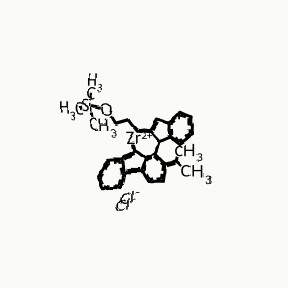 CC(C)=c1ccc2c(c1C1C(CCCO[Si](C)(C)C)=Cc3ccccc31)[C]([Zr+2])=c1ccccc1=2.[Cl-].[Cl-]